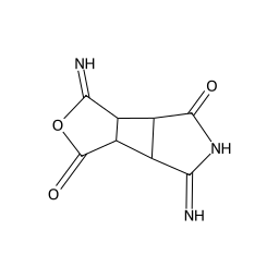 N=C1NC(=O)C2C1C1C(=O)OC(=N)C21